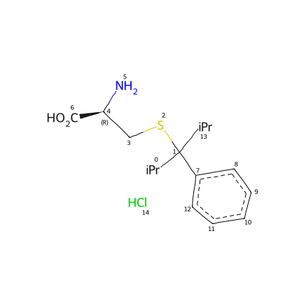 CC(C)C(SC[C@H](N)C(=O)O)(c1ccccc1)C(C)C.Cl